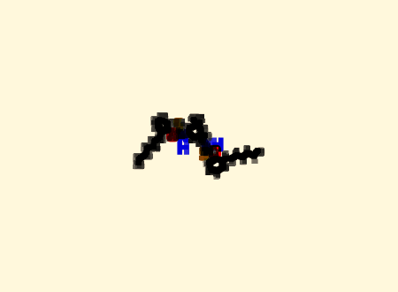 CCCCCCCc1ccccc1OC(=S)NCC1(C)CC(NC(=S)Oc2ccccc2CCCCCCC)CC(C)(C)C1